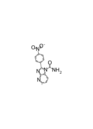 NC(=O)n1c(-c2ccc([N+](=O)[O-])cc2)nc2n[c]ccc21